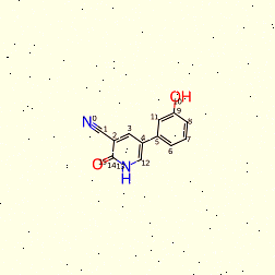 N#Cc1cc(-c2cccc(O)c2)c[nH]c1=O